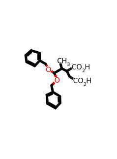 CC(C(OCc1ccccc1)OCc1ccccc1)C(CC(=O)O)C(=O)O